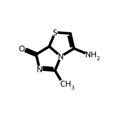 CC1=NC(=O)C2SC=C(N)N12